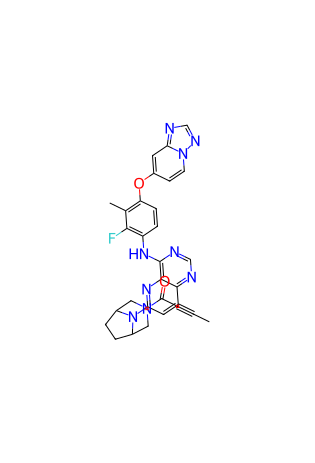 CC#CC(=O)N1CC2CCC(C1)N2c1ccc2ncnc(Nc3ccc(Oc4ccn5ncnc5c4)c(C)c3F)c2n1